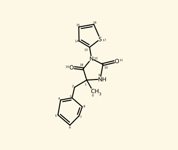 CC1(Cc2ccccc2)NC(=O)N(c2cccs2)C1=O